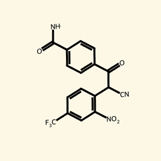 N#CC(C(=O)c1ccc(C([NH])=O)cc1)c1ccc(C(F)(F)F)cc1[N+](=O)[O-]